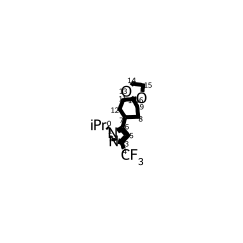 CC(C)n1nc(C(F)(F)F)cc1C1CCC2(CC1)OCCO2